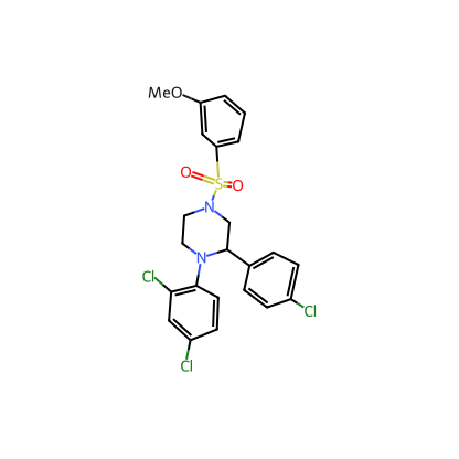 COc1cccc(S(=O)(=O)N2CCN(c3ccc(Cl)cc3Cl)C(c3ccc(Cl)cc3)C2)c1